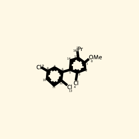 COc1cc(Cl)c(-c2cc(Cl)ccc2Cl)cc1C(C)C